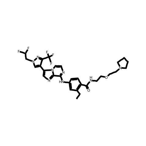 CCc1cc(Nc2nccn3c(-c4cn(CC(F)F)nc4C(F)(F)F)cnc23)ccc1C(=O)NCCOCCN1CCCC1